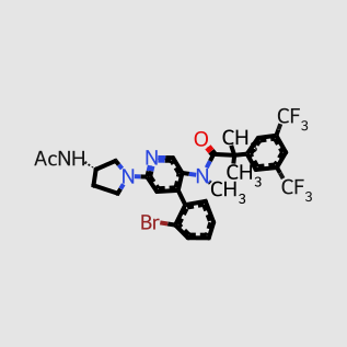 CC(=O)N[C@H]1CCN(c2cc(-c3ccccc3Br)c(N(C)C(=O)C(C)(C)c3cc(C(F)(F)F)cc(C(F)(F)F)c3)cn2)C1